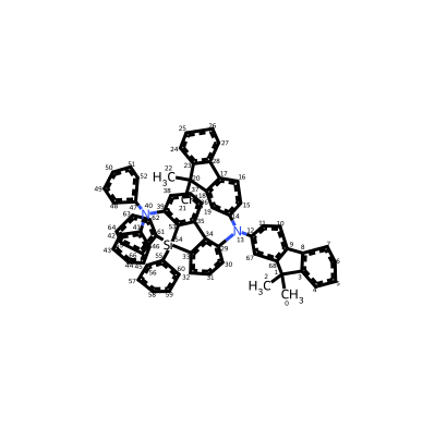 CC1(C)c2ccccc2-c2ccc(N(c3ccc4c(c3)C(C)(C)c3ccccc3-4)c3cccc4c3-c3cccc(N(c5ccccc5)c5ccccc5)c3[Si]4(c3ccccc3)c3ccccc3)cc21